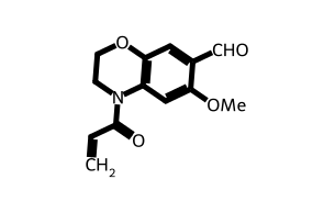 C=CC(=O)N1CCOc2cc(C=O)c(OC)cc21